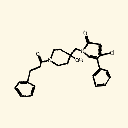 O=C(CCc1ccccc1)N1CCC(O)(Cn2cc(-c3ccccc3)c(Cl)cc2=O)CC1